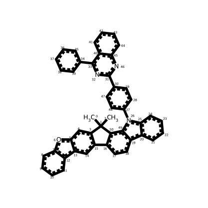 CC1(C)c2cc3oc4ccccc4c3cc2-c2ccc3c4ccccc4n(-c4ccc(-c5nc(-c6ccccc6)c6ccccc6n5)cc4)c3c21